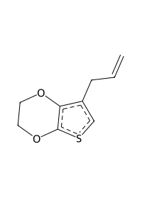 C=CCc1csc2c1OCCO2